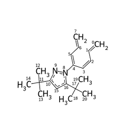 C=C/C=C\C(=C/C=C)n1nc(C(C)(C)C)cc1C(C)(C)C